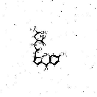 Cc1ccc(C(=O)c2ccc(CC(=O)N[C@@H](CC(C)C)C(=O)O)n2C)cc1